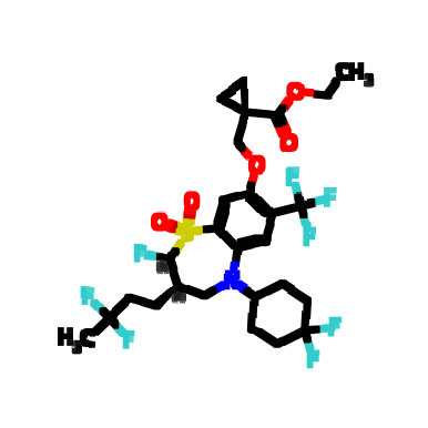 CCOC(=O)C1(COc2cc3c(cc2C(F)(F)F)N(C2CCC(F)(F)CC2)C[C@@H](CCC(C)(F)F)[C@@H](F)S3(=O)=O)CC1